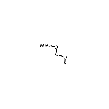 COOOOC(C)=O